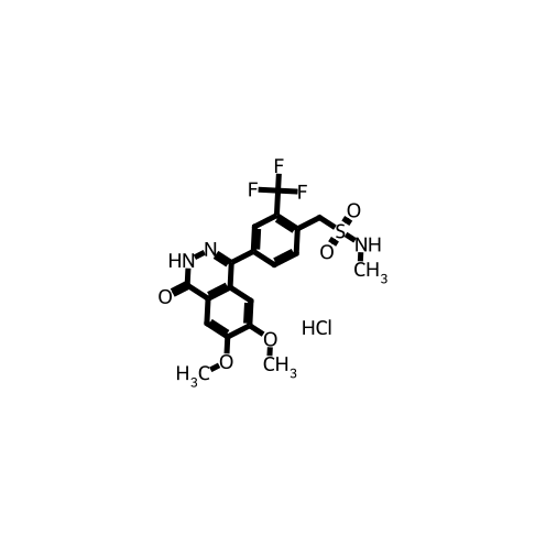 CNS(=O)(=O)Cc1ccc(-c2n[nH]c(=O)c3cc(OC)c(OC)cc23)cc1C(F)(F)F.Cl